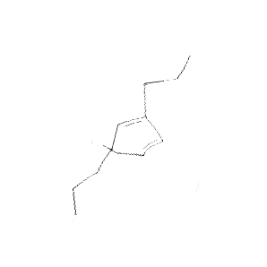 CCCC1=C[C]([Zr+3])(CCC)C=C1.[Cl-].[Cl-].[Cl-]